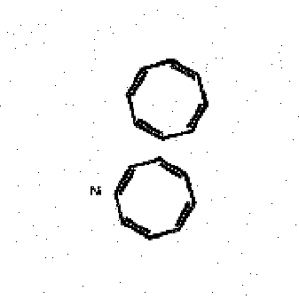 C1=CC=CC=CC=C1.C1=CC=CC=CC=C1.[Ni]